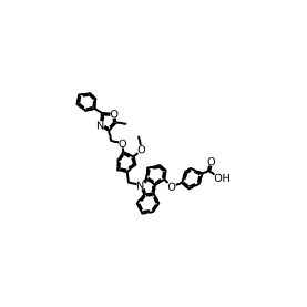 COc1cc(Cn2c3ccccc3c3c(Oc4ccc(C(=O)O)cc4)cccc32)ccc1OCc1nc(-c2ccccc2)oc1C